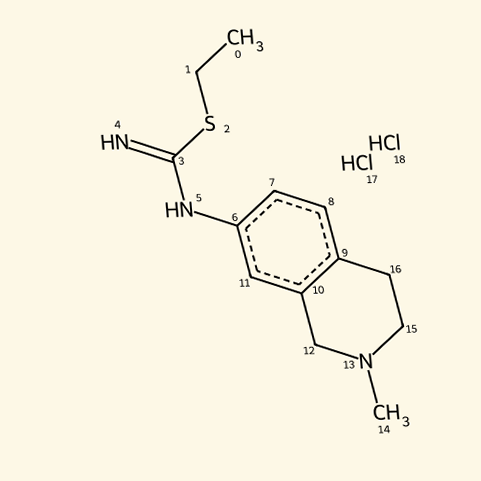 CCSC(=N)Nc1ccc2c(c1)CN(C)CC2.Cl.Cl